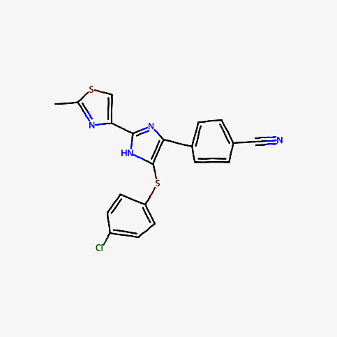 Cc1nc(-c2nc(-c3ccc(C#N)cc3)c(Sc3ccc(Cl)cc3)[nH]2)cs1